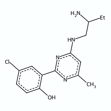 CCC(N)CNc1cc(C)nc(-c2cc(Cl)ccc2O)n1